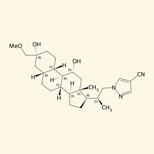 COC[C@@]1(O)CC[C@H]2[C@H](CC[C@@H]3[C@@H]2[C@H](O)C[C@]2(C)[C@@H]([C@H](C)Cn4cc(C#N)cn4)CC[C@@H]32)C1